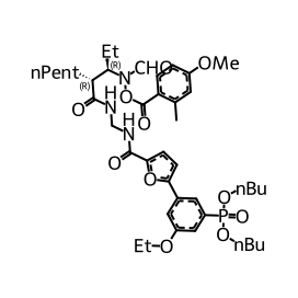 CCCCC[C@@H](C(=O)NCNC(=O)c1ccc(-c2cc(OCC)cc(P(=O)(OCCCC)OCCCC)c2)o1)[C@@H](CC)N(C=O)OC(=O)c1ccc(OC)cc1C